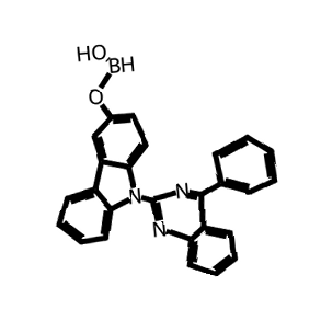 OBOc1ccc2c(c1)c1ccccc1n2-c1nc(-c2ccccc2)c2ccccc2n1